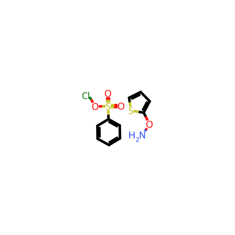 NOc1cccs1.O=S(=O)(OCl)c1ccccc1